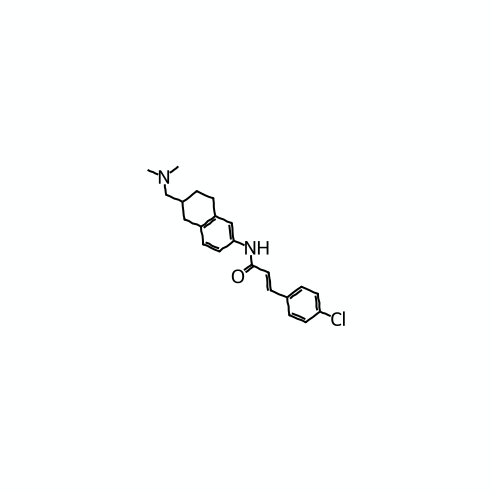 CN(C)CC1CCc2cc(NC(=O)C=Cc3ccc(Cl)cc3)ccc2C1